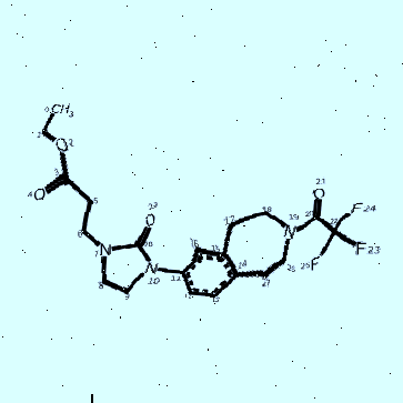 CCOC(=O)CCN1CCN(c2ccc3c(c2)CCN(C(=O)C(F)(F)F)CC3)C1=O